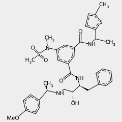 COc1ccc([C@@H](C)NC[C@@H](O)[C@H](Cc2ccccc2)NC(=O)c2cc(C(=O)NC(C)c3ccc(C)s3)cc(N(C)S(C)(=O)=O)c2)cc1